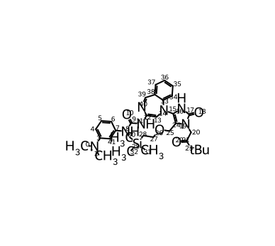 CN(C)c1cccc(NC(=O)NC2=CN(c3[nH]c(=O)n(CC(=O)C(C)(C)C)c3COCC[Si](C)(C)C)c3ccccc3C=N2)c1